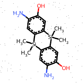 C[Si]1(C)c2cc(N)c(O)cc2[Si](C)(C)c2cc(O)c(N)cc21